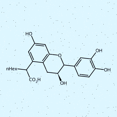 CCCCCCC(C(=O)O)c1cc(O)cc2c1C[C@H](O)C(c1ccc(O)c(O)c1)O2